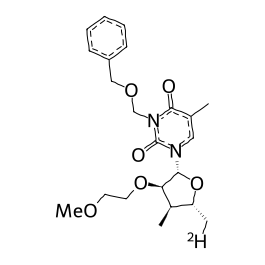 [2H]C[C@H]1O[C@@H](n2cc(C)c(=O)n(COCc3ccccc3)c2=O)[C@H](OCCOC)[C@@H]1C